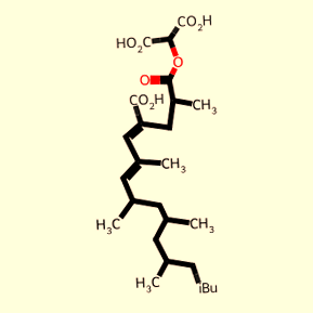 CCC(C)CC(C)CC(C)CC(C)/C=C(C)/C=C(\CC(C)C(=O)OC(C(=O)O)C(=O)O)C(=O)O